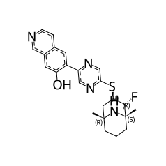 C[C@]12CCC[C@](C)(N1)[C@@H](F)[C@H](Sc1cnc(-c3cc4ccncc4cc3O)cn1)C2